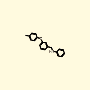 Cc1ccc(Oc2cccc(CNc3ccccc3)c2)cc1